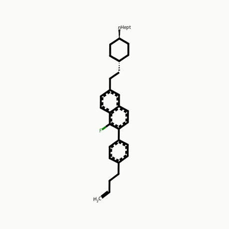 C=CCCc1ccc(-c2ccc3cc(CC[C@H]4CC[C@H](CCCCCCC)CC4)ccc3c2F)cc1